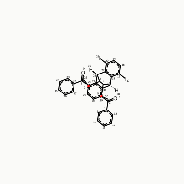 O=C(OC1C(OC(=O)c2ccccc2)[C@H]2c3c(I)ccc(I)c3[C@H]1c1c(I)ccc(I)c12)c1ccccc1